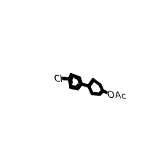 CC(=O)OC1CCC(c2ccc(Cl)cc2)CC1